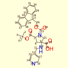 CC(C)(C)OC(=O)C1CC(NCc2ccncc2)(C(=O)O)CN1C(=O)OCC1c2ccccc2-c2ccccc21